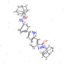 O=C(NC12CC3CC(CC(C3)C1)C2)c1ccc2cc(-c3ccc(NC(=O)C45CC6CC(CC(C6)C4)C5)cc3)[nH]c2c1